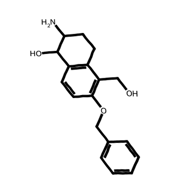 NC1CCc2c(ccc(OCc3ccccc3)c2CO)C1O